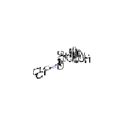 C[C@H]1CN(CC(O)CN2CCN(C(=O)/C=C/c3ccc(Cl)c(Cl)c3)CCC2=O)CC[C@H]1O